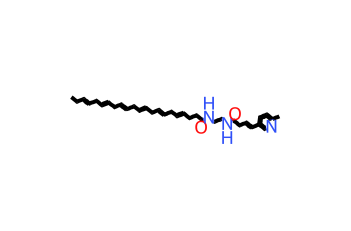 CCC=CCC=CCC=CCC=CCC=CCC=CCCC(=O)NCCNC(=O)CC=Cc1ccc(C)nc1